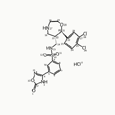 Cl.O=c1[nH]c(-c2cccc(S(=O)(=O)NC[C@@H]3CNCCO[C@H]3c3ccc(Cl)c(Cl)c3)c2)no1